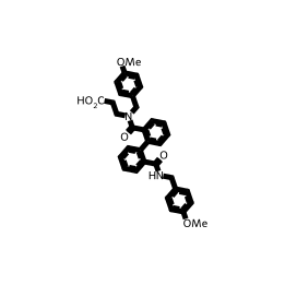 COc1ccc(CNC(=O)c2ccccc2-c2ccccc2C(=O)N(CCC(=O)O)Cc2ccc(OC)cc2)cc1